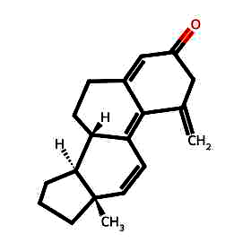 C=C1CC(=O)C=C2CC[C@@H]3C(=C12)C=C[C@]1(C)CCC[C@@H]31